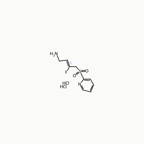 Cl.Cl.NC/C=C(\F)CS(=O)(=O)c1ccccn1